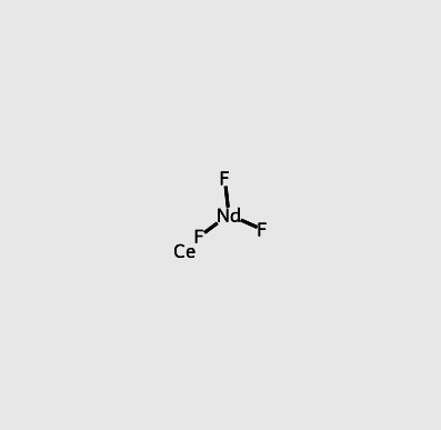 [Ce].[F][Nd]([F])[F]